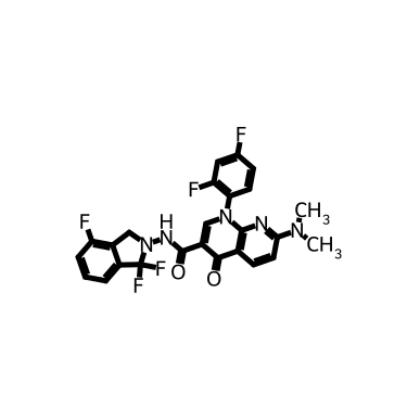 CN(C)c1ccc2c(=O)c(C(=O)NN3Cc4c(F)cccc4C3(F)F)cn(-c3ccc(F)cc3F)c2n1